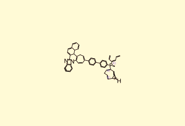 C=C/C=C(\C=C)P(=C)(/C1=C/C/C=C/C2C3=C1[C@@H]32)c1ccc(-c2ccc(C3=CCC4=C(C=C3)n3c(nc5c#cccc53)C3=CC=C5C=CC=CC5C34)cc2)cc1